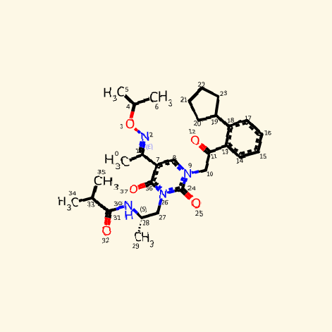 C/C(=N\OC(C)C)c1cn(CC(=O)c2ccccc2C2CCCC2)c(=O)n(C[C@H](C)NC(=O)C(C)C)c1=O